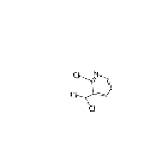 Clc1ncccc1C(Cl)Cl